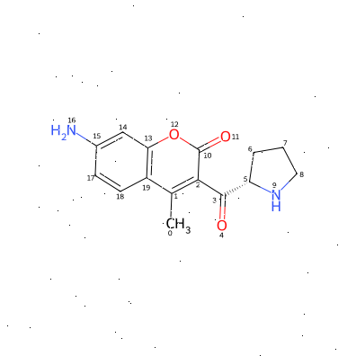 Cc1c(C(=O)[C@@H]2CCCN2)c(=O)oc2cc(N)ccc12